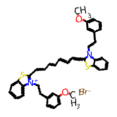 COc1cccc(CCN2/C(=C/C=C/C=C/C=C/c3sc4ccccc4[n+]3CCc3cccc(OC)c3)Sc3ccccc32)c1.[Br-]